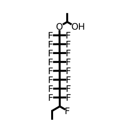 CCC(F)C(F)(F)C(F)(F)C(F)(F)C(F)(F)C(F)(F)C(F)(F)C(F)(F)C(F)(F)OC(C)O